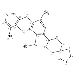 Cc1cc(N2CCC3(CCOC3)CC2)c(CO)nc1Sc1ccnc(N)c1Cl